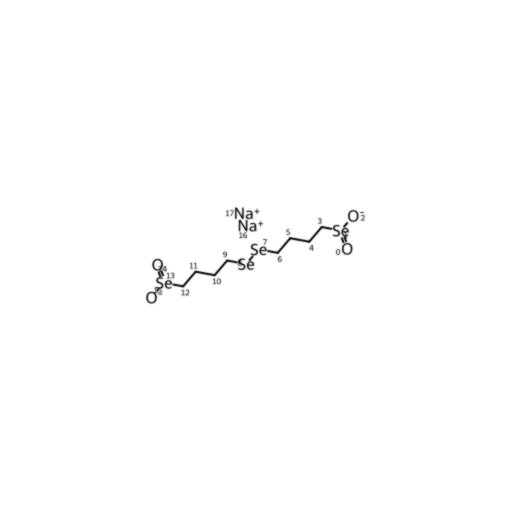 O=[Se]([O-])CCCC[Se][Se]CCCC[Se](=O)[O-].[Na+].[Na+]